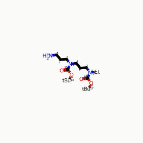 CCN(CCCN(CCCN)C(=O)OC(C)(C)C)C(=O)OC(C)(C)C